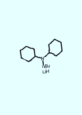 [CH2]CCCN(C1CCCCC1)C1CCCCC1.[LiH]